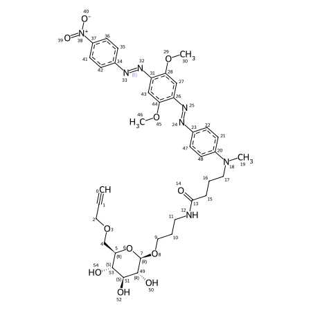 C#CCOC[C@H]1O[C@@H](OCCCNC(=O)CCCN(C)c2ccc(N=Nc3cc(OC)c(/N=N/c4ccc([N+](=O)[O-])cc4)cc3OC)cc2)[C@H](O)[C@@H](O)[C@@H]1O